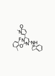 Cc1cccc(F)c1Oc1nc(N[C@H]2CCc3ccccc32)cc(-c2ccc(=O)n(C)c2)n1